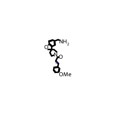 COc1cccc(/C=C/C(=O)N2CCC3(CC2)COc2ccc(CN)cc23)c1